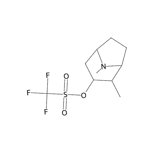 CC1C(OS(=O)(=O)C(F)(F)F)CC2CCC1N2C